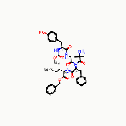 CSCC[C@H](NC(=O)[C@H](Cc1ccccc1)N(C(=O)CNC(=O)[C@H](Cc1ccc(O)cc1)NC(=O)OC(C)(C)C)C(=O)C(C)(C)N)C(=O)OCc1ccccc1